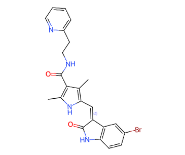 Cc1[nH]c(/C=C2\C(=O)Nc3ccc(Br)cc32)c(C)c1C(=O)NCCc1ccccn1